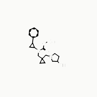 CC1CCN(CC2(CN(C(=O)OC(C)(C)C)C3CC3c3ccccc3)CC2)C1